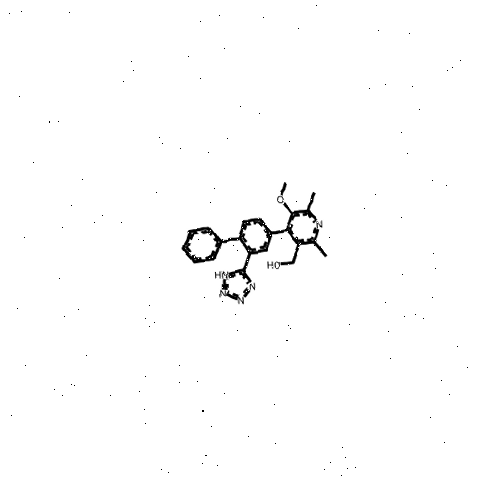 COc1c(C)nc(C)c(CO)c1-c1ccc(-c2ccccc2)c(-c2nnn[nH]2)c1